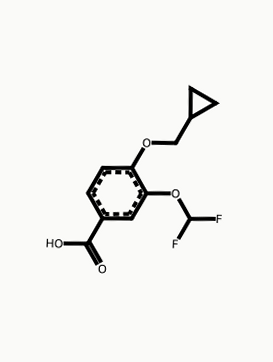 O=C(O)c1ccc(OCC2CC2)c(OC(F)F)c1